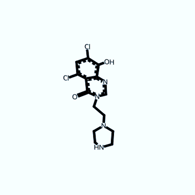 O=c1c2c(Cl)cc(Cl)c(O)c2ncn1CCN1CCNCC1